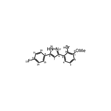 COc1cccc(-c2cc(-c3ccc(F)cc3)[nH]n2)c1Br